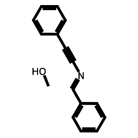 C(#Cc1ccccc1)N=Cc1ccccc1.CO